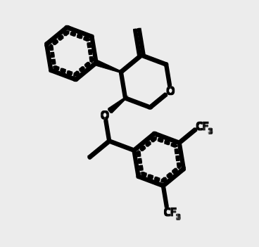 C=C1COC[C@@H](OC(C)c2cc(C(F)(F)F)cc(C(F)(F)F)c2)[C@H]1c1ccccc1